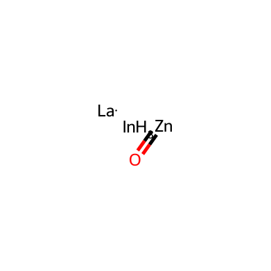 [InH3].[La].[O]=[Zn]